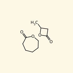 CC1CC(=O)O1.O=C1CCCCCO1